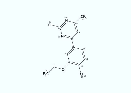 FC(F)(F)COc1cc(-c2cc(C(F)(F)F)nc(Cl)n2)ccc1C(F)(F)F